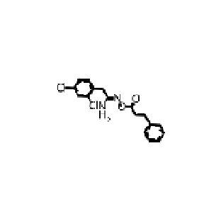 N/C(Cc1ccc(Cl)cc1Cl)=N\OC(=O)/C=C/c1ccccc1